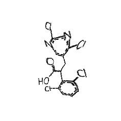 O=C(O)C(Cc1cnc(Cl)nc1Cl)c1c(Cl)cccc1Cl